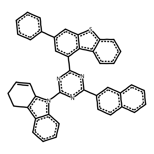 C1=Cc2c(c3ccccc3n2-c2nc(-c3ccc4ccccc4c3)nc(-c3cc(-c4ccccc4)cc4sc5ccccc5c34)n2)CC1